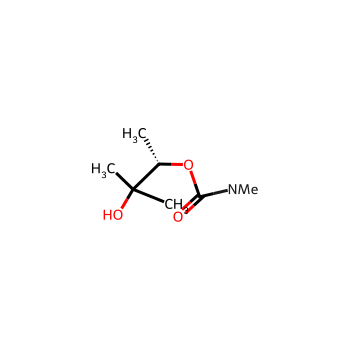 CNC(=O)O[C@@H](C)C(C)(C)O